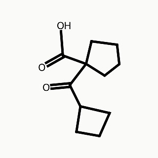 O=C(O)C1(C(=O)C2CCC2)CCCC1